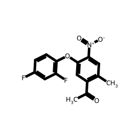 CC(=O)c1cc(Oc2ccc(F)cc2F)c([N+](=O)[O-])cc1C